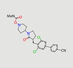 CNC(=O)ON1CCC(N2CC[C@@H](Cc3c(Cl)cc(-c4ccc(C#N)cc4)cc3Cl)C2=O)CC1